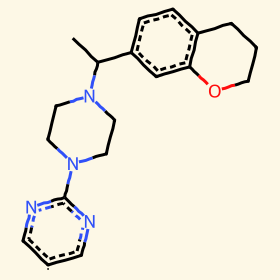 CC(c1ccc2c(c1)OCCC2)N1CCN(c2nc[c]cn2)CC1